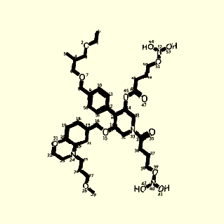 CCOCC(C)COCc1ccc(C2C(OCC3CCC4OCCN(CCCOC)C4C3)CN(C(=O)CCCON(O)O)CC2OC(=O)CCCON(O)O)cc1